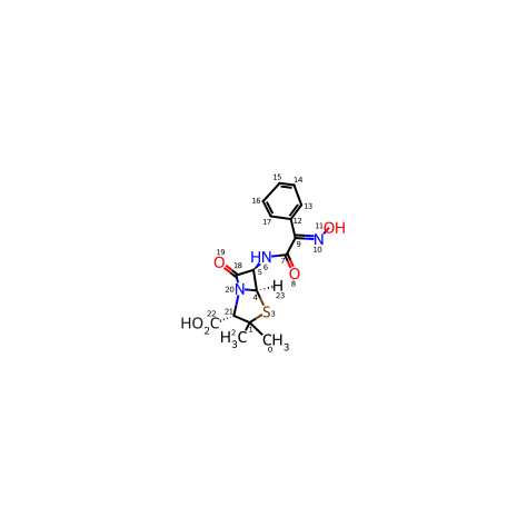 CC1(C)S[C@@H]2[C@H](NC(=O)/C(=N/O)c3ccccc3)C(=O)N2[C@H]1C(=O)O